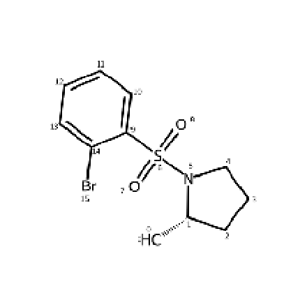 [CH][C@H]1CCCN1S(=O)(=O)c1ccccc1Br